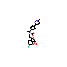 Cc1ccc(-c2ccc([C@H](C)N3CCC(CC(C)(C)O)(c4ccc(F)cc4)OC3=O)cc2)nn1